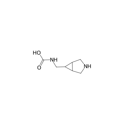 O=C(O)NCC1C2CNCC21